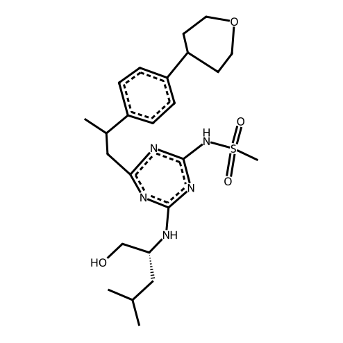 CC(C)C[C@H](CO)Nc1nc(CC(C)c2ccc(C3CCOCC3)cc2)nc(NS(C)(=O)=O)n1